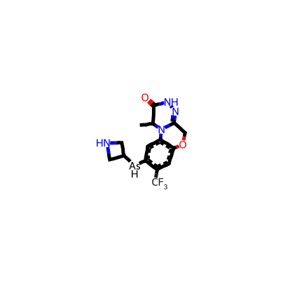 CC1C(=O)NN=C2COc3cc(C(F)(F)F)c([AsH]C4CNC4)cc3N21